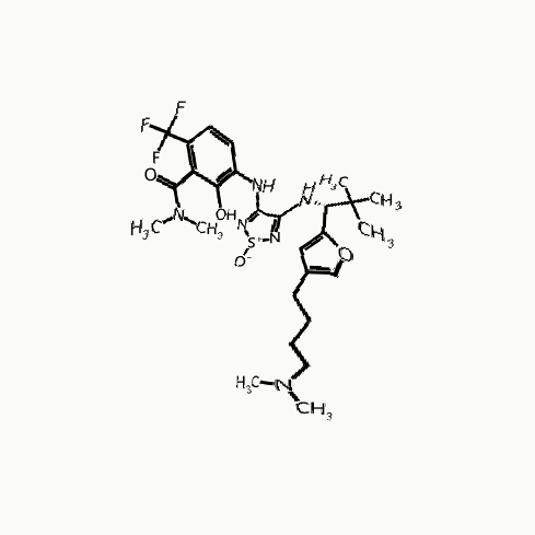 CN(C)CCCCc1coc([C@H](Nc2n[s+]([O-])nc2Nc2ccc(C(F)(F)F)c(C(=O)N(C)C)c2O)C(C)(C)C)c1